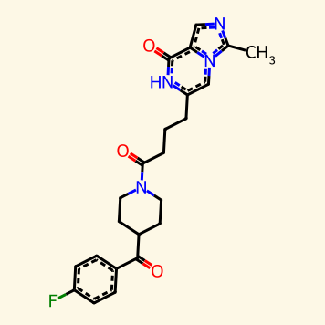 Cc1ncc2c(=O)[nH]c(CCCC(=O)N3CCC(C(=O)c4ccc(F)cc4)CC3)cn12